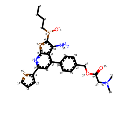 CCCC[S+]([O-])c1sc2nc(-c3cccs3)cc(-c3ccc(COC(=O)CN(C)C)cc3)c2c1N